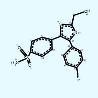 NS(=O)(=O)c1ccc(-c2sc(CO)nc2-c2ccc(F)cc2)cc1